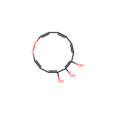 OC1=CC=COOC=CC=CC=CC(O)=C1O